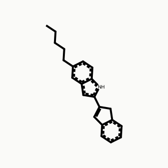 CCCCCc1ccc2[nH]c(C3=Cc4ccccc4C3)cc2c1